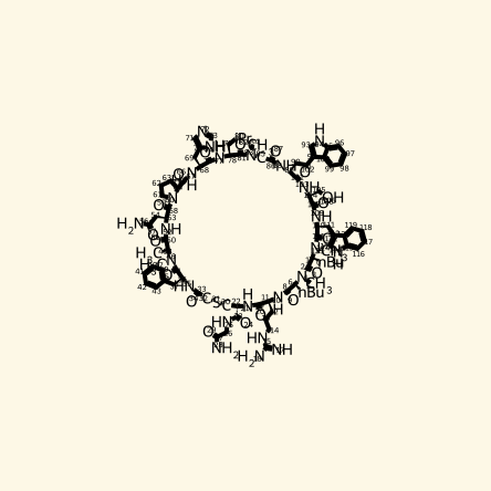 CCCC[C@H]1C(=O)N(C)[C@@H](CCCC)C(=O)N[C@@H](CCCNC(=N)N)C(=O)N[C@H](C(=O)NCC(N)=O)CSCC(=O)N[C@@H](Cc2ccccc2)C(=O)N(C)[C@@H](C)C(=O)N[C@@H](CC(N)=O)C(=O)N2CCC[C@H]2C(=O)N[C@@H](Cc2cnc[nH]2)C(=O)N[C@@H](CC(C)C)C(=O)N(C)CC(=O)N[C@@H](CCc2c[nH]c3ccccc23)C(=O)N[C@@H](CO)C(=O)N[C@@H](Cc2c[nH]c3ccccc23)C(=O)N1C